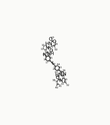 COC(=O)N[C@H](C(=O)N1CCC[C@H]1c1nc2ccc(C#Cc3ccc(-c4cnc([C@@H]5C=C(C)CN5C(=O)[C@@H](C)C(C)C)[nH]4)cc3)cc2[nH]1)C(C)C